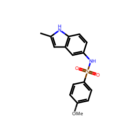 COc1ccc(S(=O)(=O)Nc2ccc3[nH]c(C)cc3c2)cc1